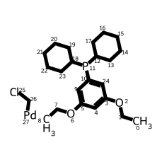 CCOc1cc(OCC)cc(P(C2CCCCC2)C2CCCCC2)c1.Cl[CH2][Pd]